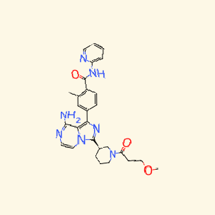 COCCC(=O)N1CCC[C@@H](c2nc(-c3ccc(C(=O)Nc4ccccn4)c(C)c3)c3c(N)nccn23)C1